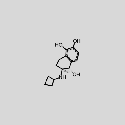 Oc1ccc2c(c1O)CC[C@H](NC1CCC1)[C@H]2O